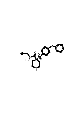 C#CCN(O)C(=O)C1(S(=O)(=O)c2ccc(Oc3ccccc3)cc2)CCNCC1